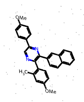 COc1ccc(-c2cnc(-c3ccc(OC)cc3C)c(-c3ccc4ccccc4c3)n2)cc1